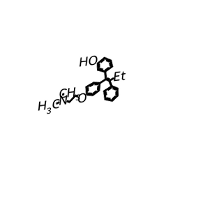 CCC(=C(c1ccc(OCCN(C)C)cc1)c1cccc(O)c1)c1ccccc1